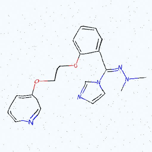 CN(C)N=C(c1ccccc1OCCOc1cccnc1)n1ccnc1